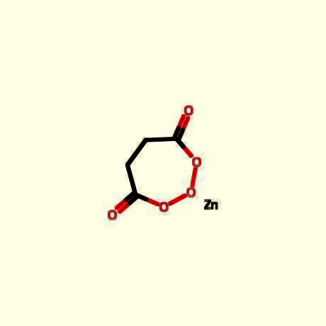 O=C1CCC(=O)OOO1.[Zn]